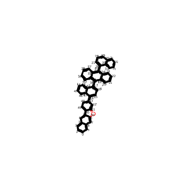 c1ccc2cc3c(cc2c1)oc1cc(-c2ccc(-c4c5ccccc5c(-c5cccc6ccccc56)c5ccccc45)c4ccccc24)ccc13